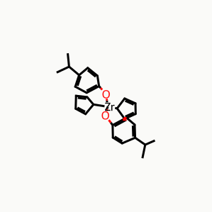 CC(C)c1ccc([O][Zr]([O]c2ccc(C(C)C)cc2)([CH]2C=CC=C2)[CH]2C=CC=C2)cc1